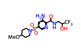 COC1CCN(S(=O)(=O)c2cnc(C(=O)NCC(O)C(F)(F)F)c(N)c2)CC1